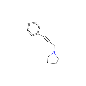 C(#Cc1cc[c]cc1)CN1CCCC1